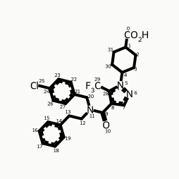 O=C(O)C1CCC(n2ncc(C(=O)N(CCc3ccccc3)Cc3ccc(Cl)cc3)c2C(F)(F)F)CC1